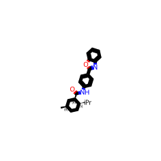 CC(C)[C@@H]1CC[C@@H](C)C[C@H]1C(=O)Nc1ccc(-c2nc3ccccc3o2)cc1